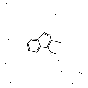 Cc1ncc2ccccc2c1O